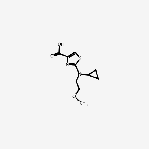 COCCN(c1nc(C(=O)O)cs1)C1CC1